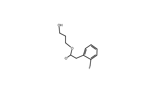 [O]C(Cc1ccccc1F)OCCCO